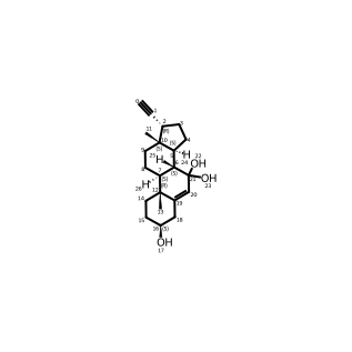 C#C[C@@H]1CC[C@H]2[C@H]3[C@H](CC[C@]12C)[C@@]1(C)CC[C@H](O)CC1=CC3(O)O